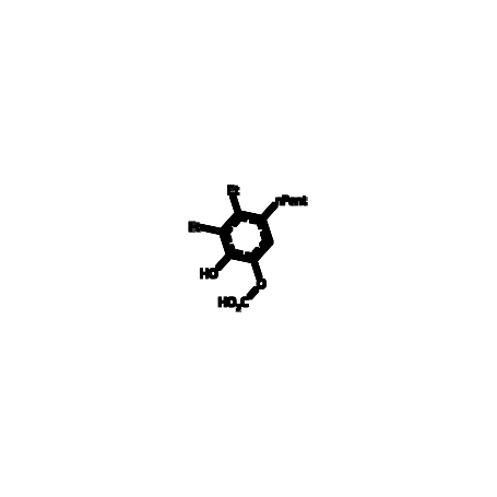 CCCCCc1cc(OC(=O)O)c(O)c(CC)c1CC